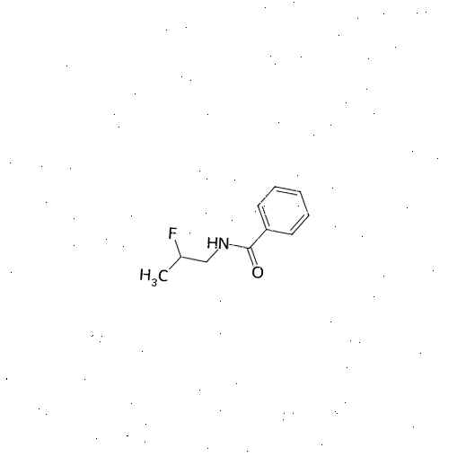 CC(F)CNC(=O)c1ccccc1